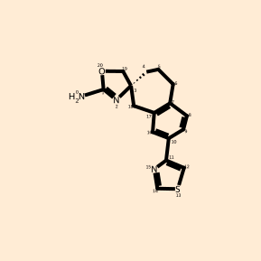 NC1=N[C@@]2(CCCc3ccc(-c4cscn4)cc3C2)CO1